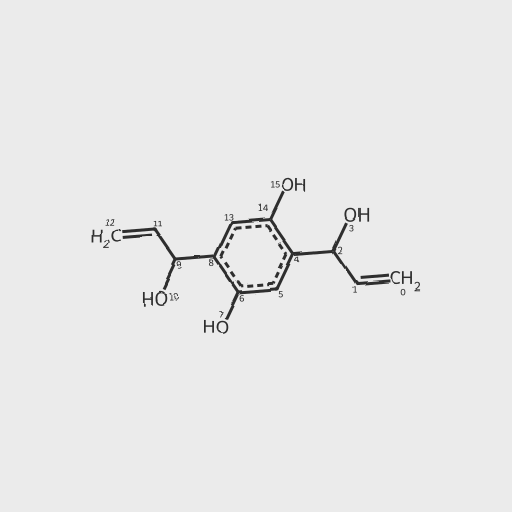 C=CC(O)c1cc(O)c(C(O)C=C)cc1O